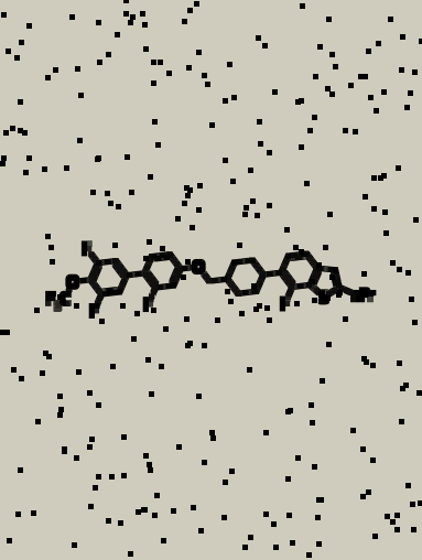 CCCc1cc2ccc(C3CCC(COc4ccc(-c5cc(F)c(OC(F)(F)F)c(F)c5)c(F)c4)CC3)c(F)c2s1